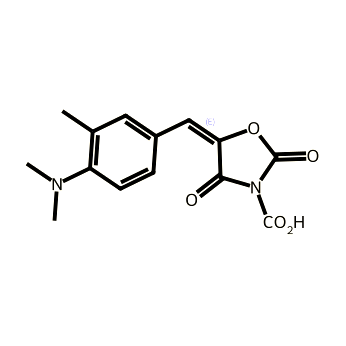 Cc1cc(/C=C2/OC(=O)N(C(=O)O)C2=O)ccc1N(C)C